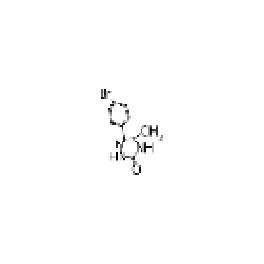 CC1NC(=O)NN=C1c1ccc(Br)cc1